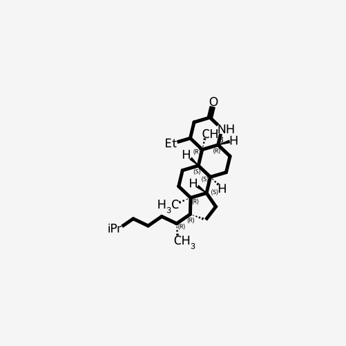 CCC1CC(=O)N[C@@H]2CC[C@H]3[C@@H]4CC[C@H]([C@H](C)CCCC(C)C)[C@@]4(C)CC[C@@H]3[C@@]12C